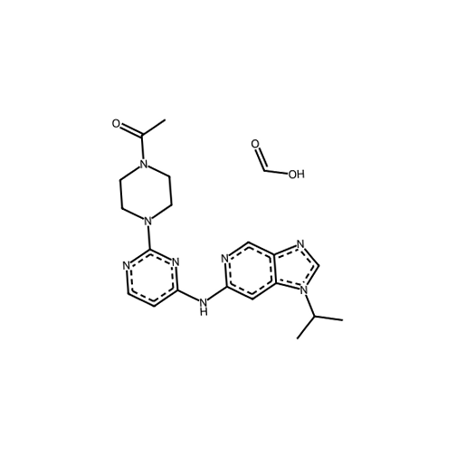 CC(=O)N1CCN(c2nccc(Nc3cc4c(cn3)ncn4C(C)C)n2)CC1.O=CO